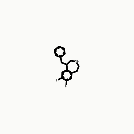 Fc1cc2c(cc1F)C(Cc1ccccc1)CNCC2